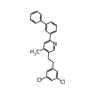 Cc1cc(-c2cccc(-c3ccccc3)c2)ncc1CCc1cc(Cl)cc(Cl)c1